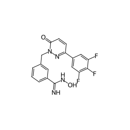 N=C(NO)c1cccc(Cn2nc(-c3cc(F)c(F)c(F)c3)ccc2=O)c1